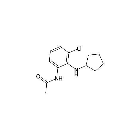 CC(=O)Nc1cccc(Cl)c1NC1CCCC1